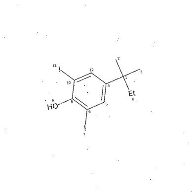 CCC(C)(C)c1cc(I)c(O)c(I)c1